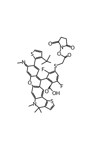 C/N=c1\cc2oc3cc4c(cc3c(-c3c(F)c(SCC(=O)ON5C(=O)CCC5=O)cc(F)c3C(=O)O)c-2cc1-c1sccc1C(C)(C)C)-c1sccc1C(C)(C)N4C